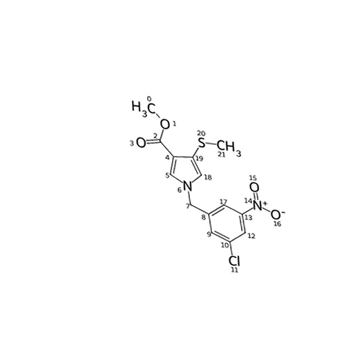 COC(=O)c1cn(Cc2cc(Cl)cc([N+](=O)[O-])c2)cc1SC